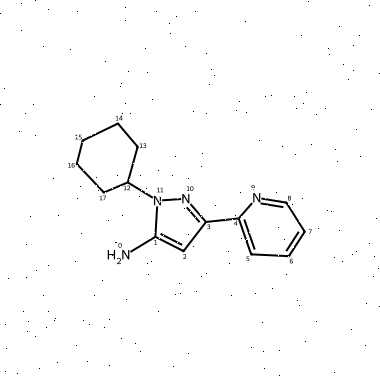 Nc1cc(-c2ccccn2)nn1C1CCCCC1